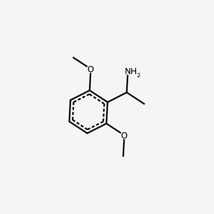 COc1cccc(OC)c1C(C)N